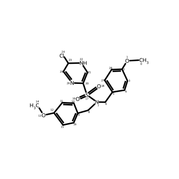 COc1ccc(CN(Cc2ccc(OC)cc2)S(=O)(=O)C2=CNC(Cl)C=N2)cc1